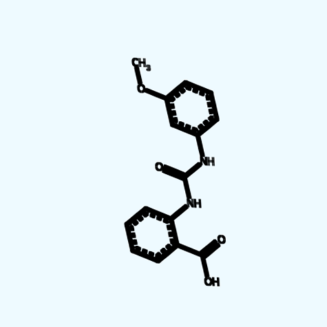 COc1cccc(NC(=O)Nc2ccccc2C(=O)O)c1